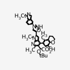 Cc1nc2c(cc(C3=CN(c4ccc5c(cnn5C)c4)NO3)n2C)c(-c2cc(F)c3c(c2C)CCCO3)c1C(OC(C)(C)C)C(=O)O